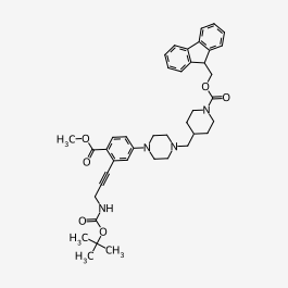 COC(=O)c1ccc(N2CCN(CC3CCN(C(=O)OCC4c5ccccc5-c5ccccc54)CC3)CC2)cc1C#CCNC(=O)OC(C)(C)C